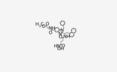 COC(=O)CNC(=O)c1ccc2c(c1)nc(C(Cc1cccc3ccccc13)NC(=O)CCC(=O)NO)n2Cc1ccccc1